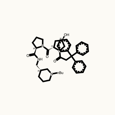 CCCCN1CCC[C@H](CNC(=O)[C@H]2CCCN2C(=O)[C@@H]2C[C@@H](O)CN2C(=O)CC(c2ccccc2)(c2ccccc2)c2ccccc2)C1